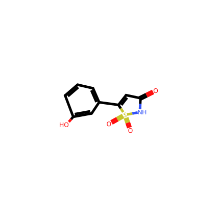 O=C1C=C(c2cccc(O)c2)S(=O)(=O)N1